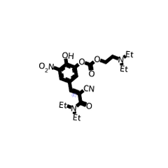 CCN(CC)CCOC(=O)Oc1cc(/C=C(\C#N)C(=O)N(CC)CC)cc([N+](=O)[O-])c1O